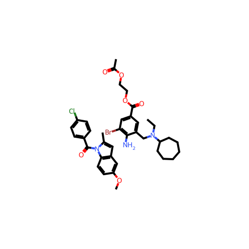 CCN(Cc1cc(C(=O)OCCOC(C)=O)cc(Br)c1N)C1CCCCCC1.COc1ccc2c(c1)cc(C)n2C(=O)c1ccc(Cl)cc1